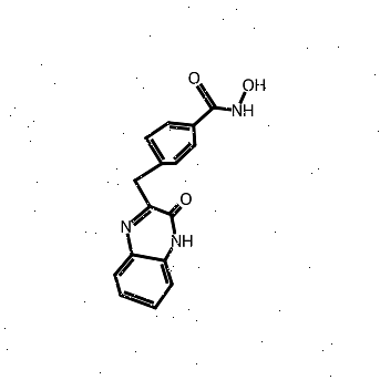 O=C(NO)c1ccc(Cc2nc3ccccc3[nH]c2=O)cc1